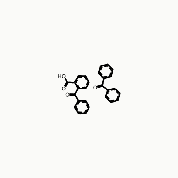 O=C(O)c1ccccc1C(=O)c1ccccc1.O=C(c1ccccc1)c1ccccc1